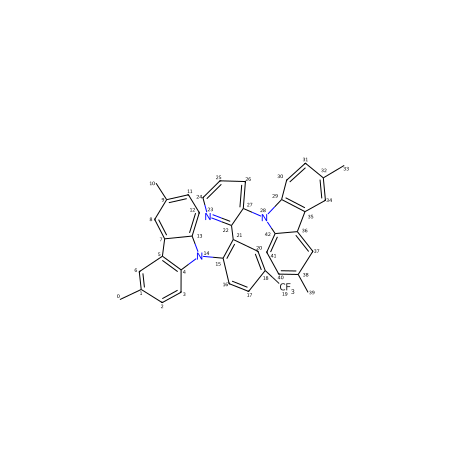 Cc1ccc2c(c1)c1cc(C)ccc1n2-c1ccc(C(F)(F)F)cc1-c1ncccc1-n1c2ccc(C)cc2c2cc(C)ccc21